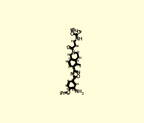 Cc1c(-c2noc(-c3ccc(OC(C)C)c(N)c3)n2)ccc2c1CCN(C(=O)CCNC(=O)OC(C)(C)C)C2